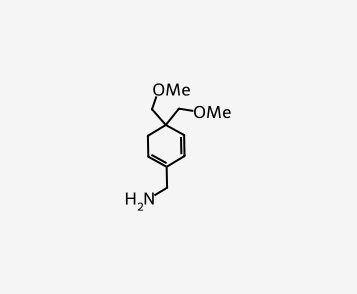 COCC1(COC)C=CC(CN)=CC1